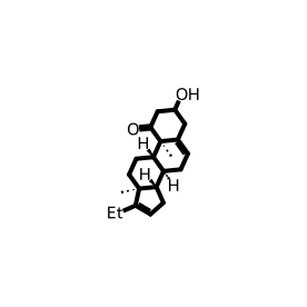 CCC1=CC[C@H]2[C@@H]3CC=C4CC(O)CC(=O)[C@]4(C)[C@H]3CC[C@]12C